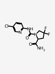 NC(=O)C1CC(F)(F)CN1C(=O)Nc1ccc(Cl)cn1